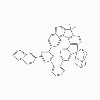 CS1(C)c2ccccc2-c2c1ccc1c2-c2ccc(-c3ccccc3-c3nc(-c4ccccc4)nc(-c4ccc5ccccc5c4)n3)cc2C12C1CC3CC(C1)CC2C3